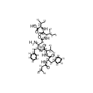 CC[C@H](C)[C@H](NC(=O)C[C@H](N)[C@H](Cc1ccccc1)NC(=O)C(NC(=O)C(Cc1ccccc1)NC(=O)CC(C)C)C(C)C)C(=O)NC(C(=O)O)C(C)C